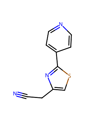 N#CCc1csc(-c2ccncc2)n1